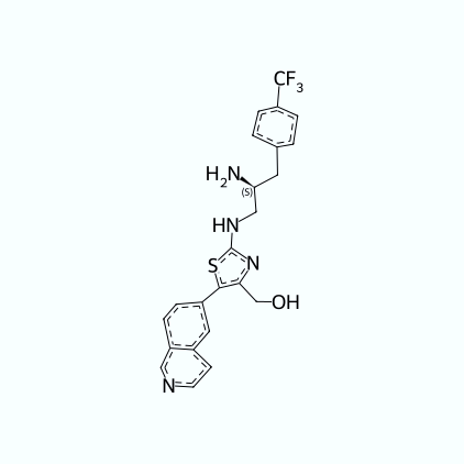 N[C@H](CNc1nc(CO)c(-c2ccc3cnccc3c2)s1)Cc1ccc(C(F)(F)F)cc1